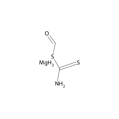 NC(=S)SC=O.[MgH2]